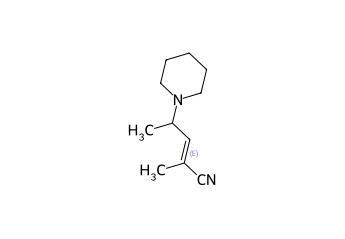 C/C(C#N)=C\C(C)N1CCCCC1